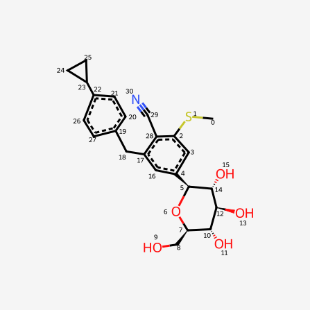 CSc1cc([C@@H]2O[C@H](CO)[C@@H](O)[C@H](O)[C@H]2O)cc(Cc2ccc(C3CC3)cc2)c1C#N